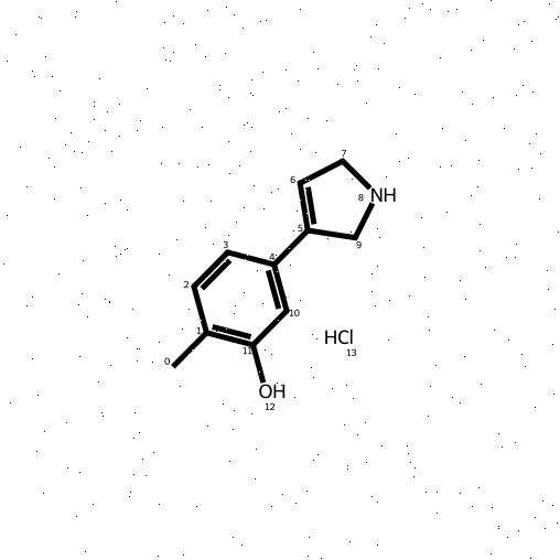 Cc1ccc(C2=CCNC2)cc1O.Cl